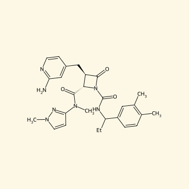 CCC(NC(=O)N1C(=O)[C@H](Cc2ccnc(N)c2)[C@H]1C(=O)N(C)c1ccn(C)n1)c1ccc(C)c(C)c1